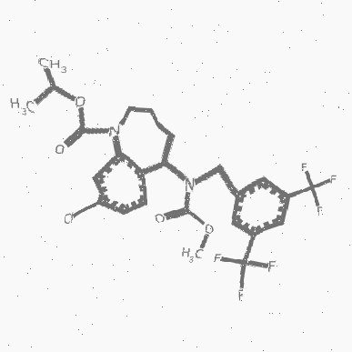 COC(=O)N(Cc1cc(C(F)(F)F)cc(C(F)(F)F)c1)C1CCCN(C(=O)OC(C)C)c2cc(Cl)ccc21